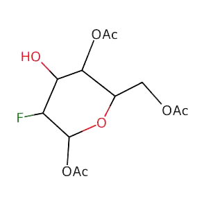 CC(=O)OCC1OC(OC(C)=O)C(F)C(O)C1OC(C)=O